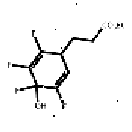 CCOC(=O)CCC1C=C(F)C(O)(F)C(F)=C1F